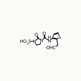 O=[C]Cc1sccc1NC(=O)N1CCN(S(=O)(=O)O)C1=O